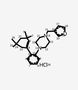 CC1(C)C=C(c2ccccc2N2CCN(Cc3ccoc3)CC2)CC(C)(C)C1.Cl